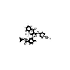 BN1CCC(Oc2nn(-c3cc(C(=O)NC4CC4)ccc3C)c(N)c2C(=O)c2ccccc2)CC1